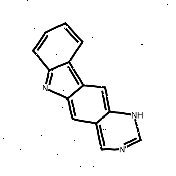 c1ccc2c(c1)nc1cc3cnc[nH]c3cc12